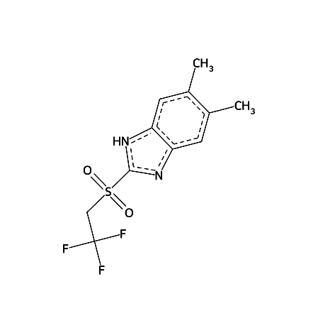 Cc1cc2nc(S(=O)(=O)CC(F)(F)F)[nH]c2cc1C